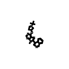 Cn1c(-c2cncc3ccccc23)nc2c(OC3CCN(C(C)(C)C)C3)ncnc21